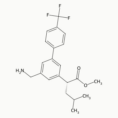 COC(=O)[C@H](CC(C)C)c1cc(CN)cc(-c2ccc(C(F)(F)F)cc2)c1